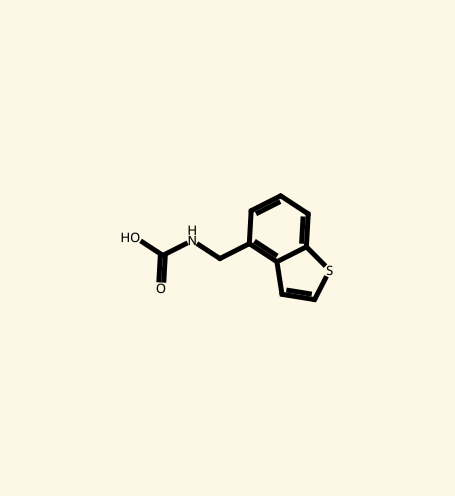 O=C(O)NCc1cccc2sccc12